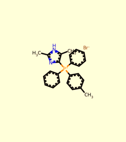 Cc1ccc([P+](c2ccccc2)(c2ccccc2)c2nc(C)[nH]c2C)cc1.[Br-]